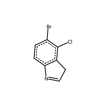 Clc1c(Br)ccc2c1CC=N2